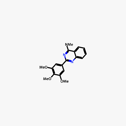 CNc1nc(-c2cc(OC)c(OC)c(OC)c2)nc2ccccc12